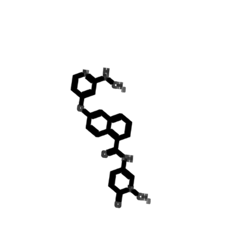 CNc1cc(Oc2ccc3c(C(=O)Nc4ccc(=O)n(C)c4)cccc3c2)ccn1